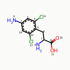 Nc1cc(Cl)c(CC(N)C(=O)O)c(Cl)c1